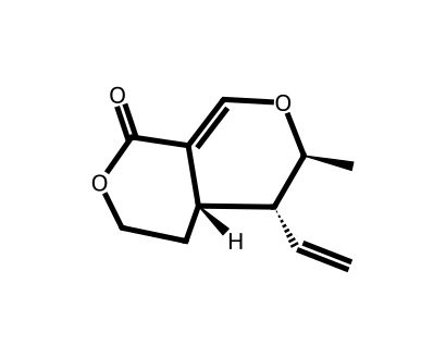 C=C[C@H]1[C@H](C)OC=C2C(=O)OCC[C@H]21